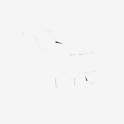 CO[C@]1(c2ccccc2C)COCC2(C1)N[C@@H](c1ccc(F)cc1)CO2